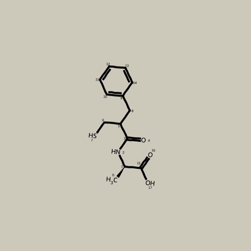 C[C@@H](NC(=O)C(CS)Cc1ccccc1)C(=O)O